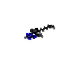 CCCCCCCCc1c(C)nc2ncnn2c1[AsH2]